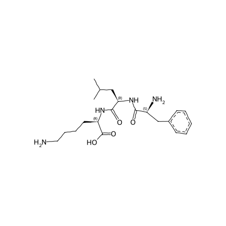 CC(C)C[C@@H](NC(=O)[C@@H](N)Cc1ccccc1)C(=O)N[C@H](CCCCN)C(=O)O